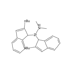 CCCCC1=Cc2ccccc2[CH]1[Zr]([CH]1C(CCCC)=Cc2ccccc21)[SiH](C)C